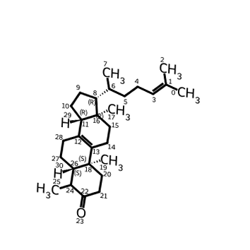 CC(C)=CCCC(C)[C@H]1CC[C@H]2C3=C(CC[C@]12C)[C@@]1(C)CCC(=O)C(C)[C@@H]1CC3